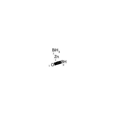 B=O.[BiH3].[Zn]